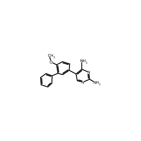 COc1ccc(-c2cnc(N)nc2N)cc1-c1ccccc1